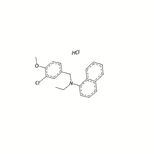 CCN(Cc1ccc(OC)c(Cl)c1)c1cccc2ccccc12.Cl